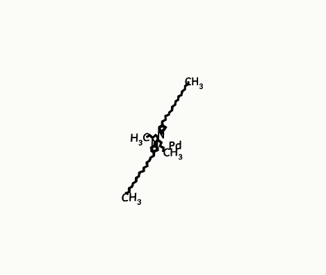 CCCCCCCCCCCCCCCCCc1ccc(/N=C(CCCC)/C(CCCCC)=N/c2ccc(CCCCCCCCCCCCCCCCC)cc2)cc1.[Pd]